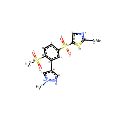 CNc1ncc(S(=O)(=O)c2ccc(S(C)(=O)=O)c(-c3cnn(C)c3)c2)s1